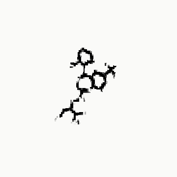 CC(Cl)C(CCl)=NNC1=Nc2ccc(C(F)(F)F)cc2C(c2ccccc2Cl)=NC1